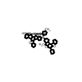 CCCCCCCC1(CCCCCCC)c2ccccc2-c2c1c1c(c3c2oc2ccccc23)-c2ccc(N(c3ccc4c(c3)C(C)(C)c3cc(-c5ccccc5)c5oc6ccccc6c5c3-4)c3ccc(C)cc3C)cc2C1(CCCCCCC)CCCCCCC